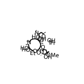 CC(C)O.CC[C@H]1OC(=O)[C@H](C)[C@@H](O[C@H]2C[C@@](C)(OC)[C@@H](O)[C@H](C)O2)[C@H](C)[C@@H](O[C@@H]2O[C@H](C)C[C@H](N(C)C)[C@H]2O)[C@](C)(O)C[C@@H](C)CN(C)[C@H](C)[C@@H](O)[C@]1(C)O